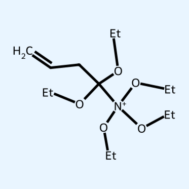 C=CCC(OCC)(OCC)[N+](OCC)(OCC)OCC